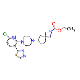 CCOC(=O)N1CC2(CC[C@@H](N3CCN(c4nc(Cl)ccc4-c4nncs4)CC3)C2)C1